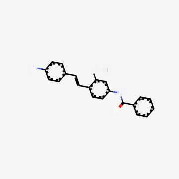 Nc1ccc(C=Cc2ccc(NC(=O)c3ccccc3)cc2S(=O)(=O)O)cc1